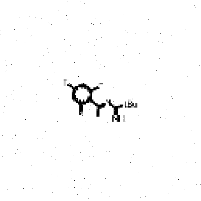 C/C(=N\C(=N)C(C)(C)C)c1c(C)cc(F)cc1F